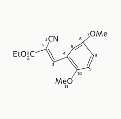 CCOC(=O)C(C#N)=Cc1cc(OC)ccc1OC